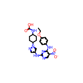 CCOc1ccc(Nc2nc(Nc3cnn(C4CCC(NC(=O)O)CC4)c3)ncc2[N+](=O)[O-])cc1